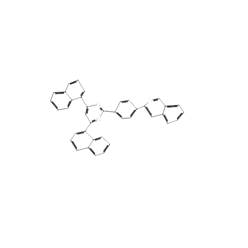 c1ccc2cc(-c3ccc(-c4nc(-c5cccc6ccccc56)cc(-c5cccc6ccccc56)n4)cc3)ncc2c1